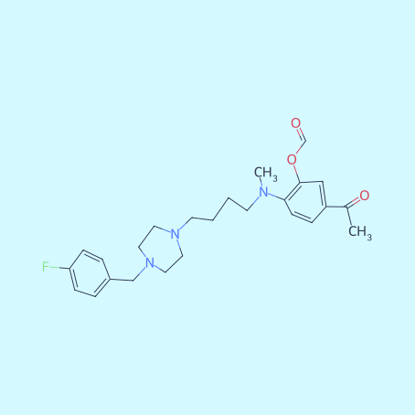 CC(=O)c1ccc(N(C)CCCCN2CCN(Cc3ccc(F)cc3)CC2)c(OC=O)c1